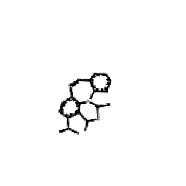 CC(C)c1ccc2c3c1C(C)SC(C)N3c1ccccc1C=C2